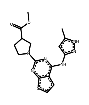 COC(=O)C1CCN(c2nc(Nc3cc(C)[nH]n3)c3ccsc3n2)C1